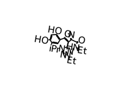 CCNC(=O)c1noc(-c2cc(C(C)C)c(O)cc2O)c1-c1nnn(CC)n1